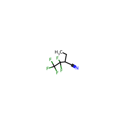 CCC(C#N)C(F)(F)C(F)(F)F